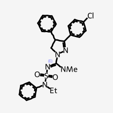 CCN(c1ccccc1)S(=O)(=O)/N=C(\NC)N1CC(c2ccccc2)C(c2ccc(Cl)cc2)=N1